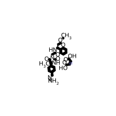 CCOC(=O)C[C@H](NC(=O)CN1C(=O)N[C@@](C)(c2ccc(C=NN)cc2)C1=O)c1ccccc1.O=C(O)/C=C\C(=O)O